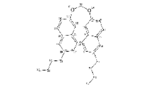 CCCCc1ccc2c3c(ccc2c1)OCOc1ccc2cc(CCCC)ccc2c1-3